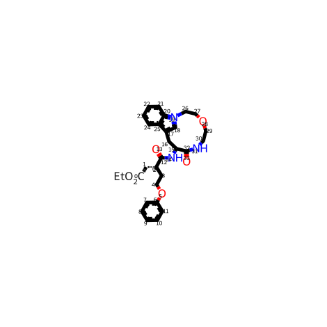 CCOC(=O)C[C@@H](CCOc1ccccc1)C(=O)NC1Cc2cn(c3ccccc23)CCOCCNC1=O